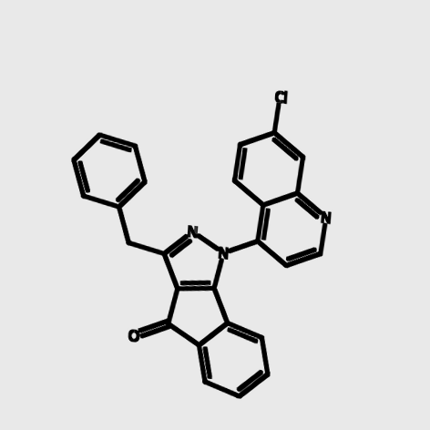 O=C1c2ccccc2-c2c1c(Cc1ccccc1)nn2-c1ccnc2cc(Cl)ccc12